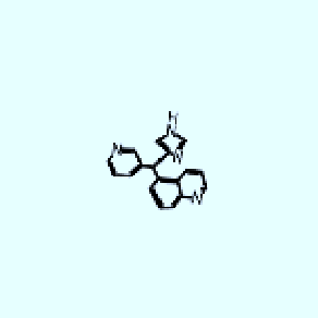 c1cncc(C(c2c[nH]cn2)c2cccc3ncccc23)c1